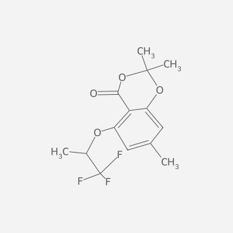 Cc1cc(OC(C)C(F)(F)F)c2c(c1)OC(C)(C)OC2=O